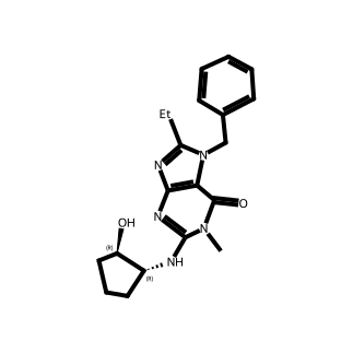 CCc1nc2nc(N[C@@H]3CCC[C@H]3O)n(C)c(=O)c2n1Cc1ccccc1